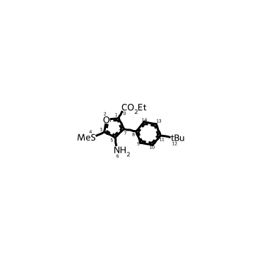 CCOC(=O)c1oc(SC)c(N)c1-c1ccc(C(C)(C)C)cc1